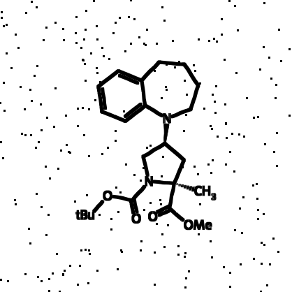 COC(=O)[C@]1(C)C[C@H](N2CCCCc3ccccc32)CN1C(=O)OC(C)(C)C